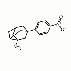 NC12CC3CC1CC(c1ccc([N+](=O)[O-])cc1)(C3)C2